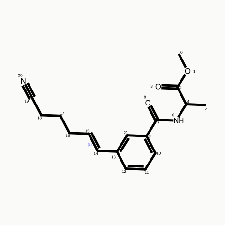 COC(=O)C(C)NC(=O)c1cccc(/C=C/CCCC#N)c1